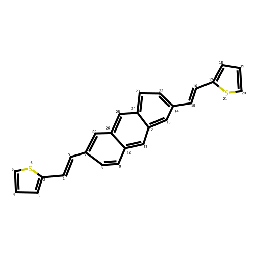 C(=C\c1cccs1)/c1ccc2cc3cc(/C=C/c4cccs4)ccc3cc2c1